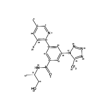 Cc1cnc(-c2cc(C(=O)N[C@@H](C)CO)cc(-n3nnnc3C(F)(F)F)c2)c(F)c1